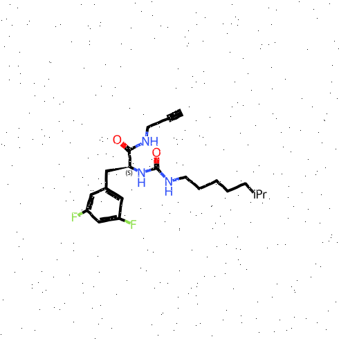 C#CCNC(=O)[C@H](Cc1cc(F)cc(F)c1)NC(=O)NCCCCCC(C)C